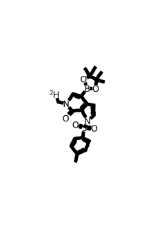 [2H]Cn1cc(B2OC(C)(C)C(C)(C)O2)c2ccn(S(=O)(=O)c3ccc(C)cc3)c2c1=O